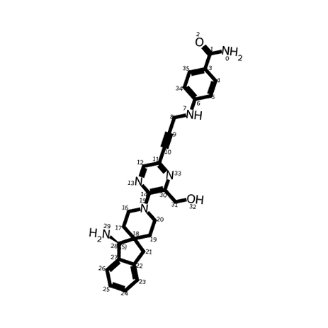 NC(=O)c1ccc(NCC#Cc2cnc(N3CCC4(CC3)Cc3ccccc3[C@H]4N)c(CO)n2)cc1